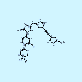 Cc1cc(C#Cc2cn(C[C@H]3CN(c4ccc(C5=CCS(=O)(=O)CC5)c(F)c4)C(=O)O3)nn2)on1